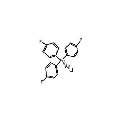 Fc1ccc([PH]([Au][Cl])(c2ccc(F)cc2)c2ccc(F)cc2)cc1